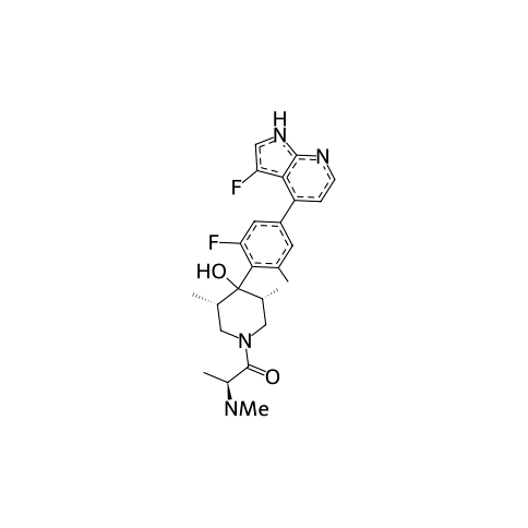 CN[C@@H](C)C(=O)N1C[C@@H](C)C(O)(c2c(C)cc(-c3ccnc4[nH]cc(F)c34)cc2F)[C@@H](C)C1